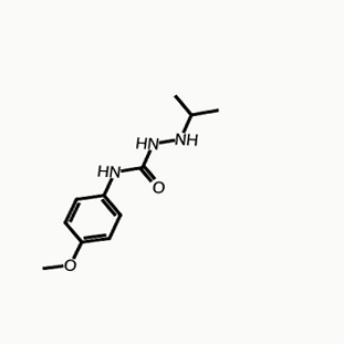 COc1ccc(NC(=O)NNC(C)C)cc1